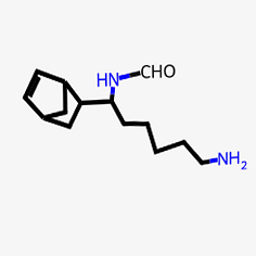 NCCCCCC(NC=O)C1CC2C=CC1C2